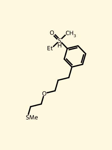 CC[SH](C)(=O)c1cccc(CCCOCCSC)c1